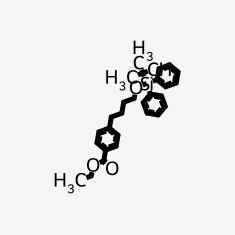 CCOC(=O)c1ccc(CCCCO[Si](c2ccccc2)(c2ccccc2)C(C)(C)C)cc1